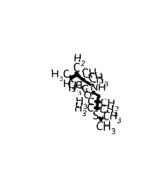 C=C(C(C)C)C(C)(C)C(C)(C)NC(=O)CC(C)(C)C(C)(C)SC(C)C